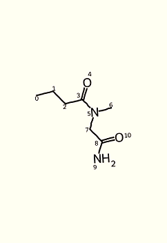 CCCC(=O)N(C)CC(N)=O